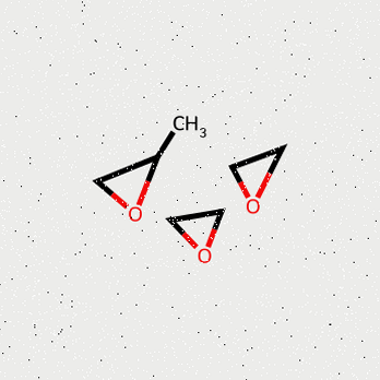 C1CO1.C1CO1.CC1CO1